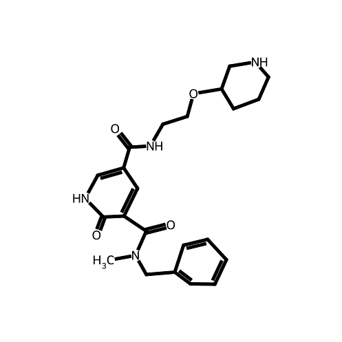 CN(Cc1ccccc1)C(=O)c1cc(C(=O)NCCOC2CCCNC2)c[nH]c1=O